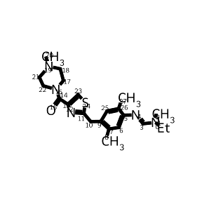 CCN(C)/C=N/c1cc(C)c(Cc2nc(C(=O)N3CCN(C)CC3)cs2)cc1C